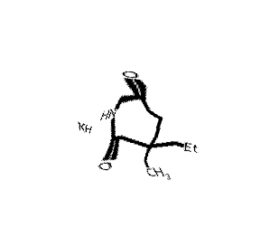 CCC1(C)CC(=O)NC1=O.[KH]